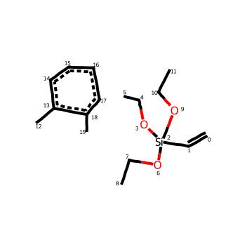 C=C[Si](OCC)(OCC)OCC.Cc1ccccc1C